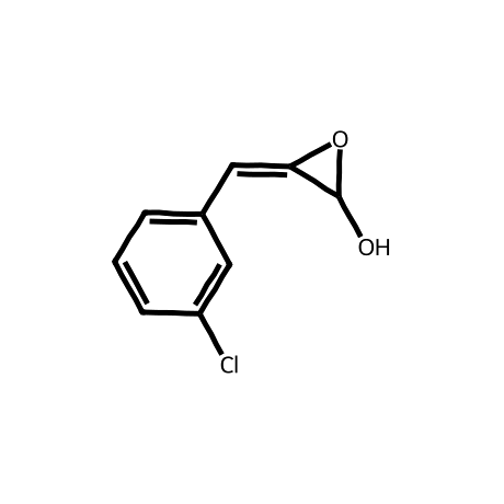 OC1OC1=Cc1cccc(Cl)c1